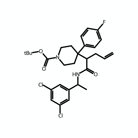 C=CCC(C(=O)NC(C)c1cc(Cl)cc(Cl)c1)C1(c2ccc(F)cc2)CCN(C(=O)OC(C)(C)C)CC1